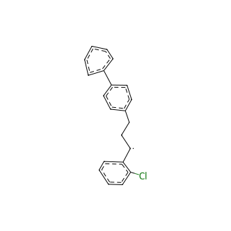 Clc1ccccc1[CH]CCc1ccc(-c2ccccc2)cc1